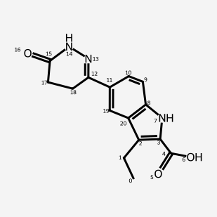 CCc1c(C(=O)O)[nH]c2ccc(C3=NNC(=O)CC3)cc12